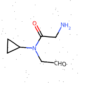 NCC(=O)N(C[C]=O)C1CC1